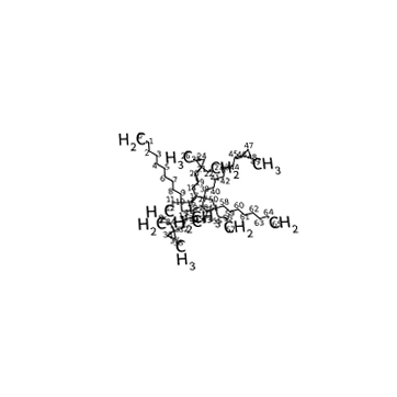 C=CCCCCCCCCC1(C=C)CC(C)C1=C(CC=CC1(C=C)CC1C)C(CCCC=CC1(C=C)CC1C)(CCCCCCC=C1CC1C)CC(CC=C)(CC=C)CCCCCCC=C